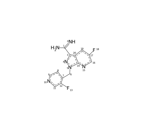 N=C(N)c1nn(Cc2ccncc2F)c2ncc(F)cc12